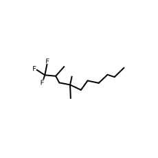 CCCCCCC(C)(C)CC(C)C(F)(F)F